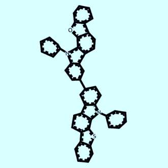 c1ccc(-n2c3ccc(-c4ccc5c(c4)c4ccc6c7ccccc7sc6c4n5-c4ccccc4)cc3c3ccc4c5ccccc5oc4c32)cc1